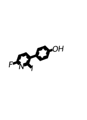 Oc1ccc(-c2ccc(F)nc2I)cc1